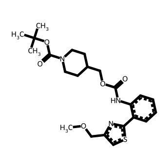 COCc1csc(-c2ccccc2NC(=O)OCC2CCN(C(=O)OC(C)(C)C)CC2)n1